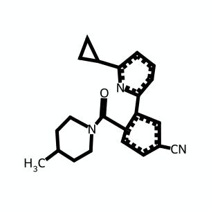 CC1CCN(C(=O)c2ccc(C#N)cc2-c2cccc(C3CC3)n2)CC1